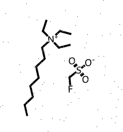 CCCCCCCC[N+](CC)(CC)CC.O=S(=O)([O-])CF